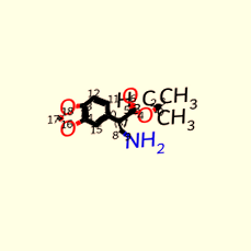 CC(C)(C)OC(=O)[C@@H](CN)c1ccc2c(c1)OCO2